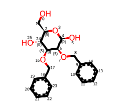 OC[C@H]1O[C@@H](O)[C@@H](OCc2ccccc2)[C@@H](OCc2ccccc2)[C@@H]1O